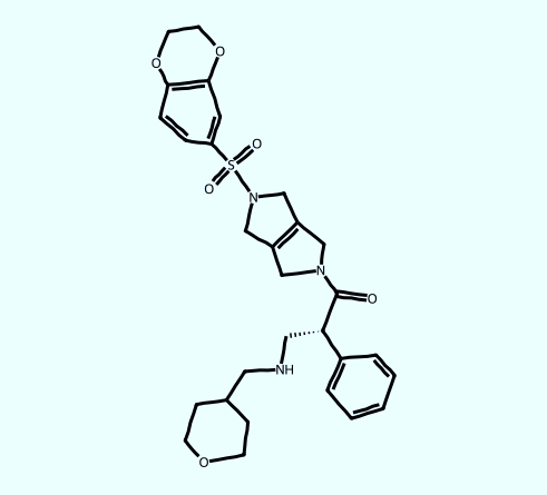 O=C([C@@H](CNCC1CCOCC1)c1ccccc1)N1CC2=C(C1)CN(S(=O)(=O)c1ccc3c(c1)OCCO3)C2